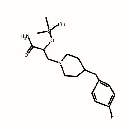 CC(C)(C)[Si](C)(C)OC(CN1CCC(Cc2ccc(F)cc2)CC1)C(N)=O